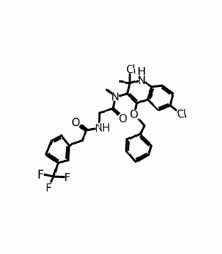 CN(C(=O)CNC(=O)Cc1cccc(C(F)(F)F)c1)C1=C(OCc2ccccc2)c2cc(Cl)ccc2NC1(C)Cl